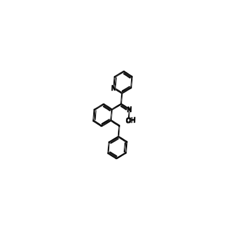 ON=C(c1ccccn1)c1ccccc1Cc1ccccc1